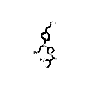 CC(C)CCN(c1ccc(CCC(C)(C)C)cc1)[C@H]1CCN(C(=O)C(N)CC(C)C)C1